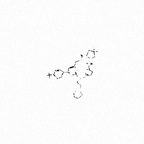 O=C(NCc1cc(-c2ccc(C(F)(F)F)cc2)nc(OCCN2CCCC2)n1)[C@@H]1CC(F)(F)CN1S(=O)(=O)c1ccc(Cl)s1